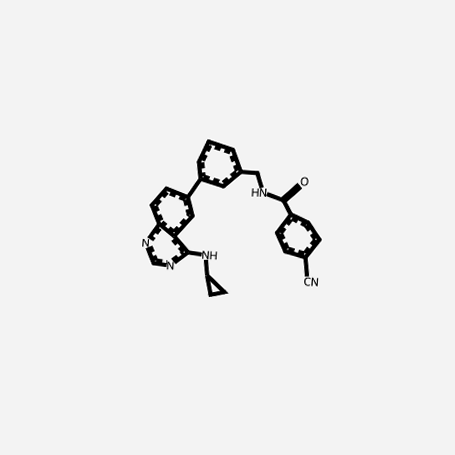 N#Cc1ccc(C(=O)NCc2cccc(-c3ccc4ncnc(NC5CC5)c4c3)c2)cc1